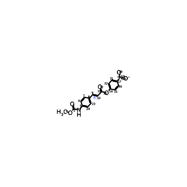 COC(=O)Nc1ccc(/C=C/C(=O)Oc2ccc([N+](=O)[O-])cc2)cc1